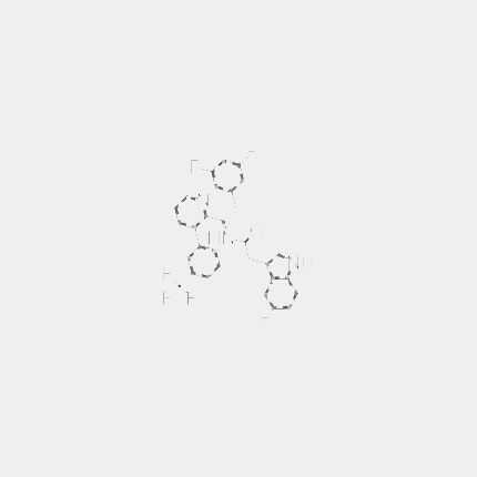 O=C(Cc1c[nH]c2ccc(F)cc12)N[C@@H](Cc1cc(F)cc(F)c1)c1ncccc1-c1cccc(C(F)(F)F)c1